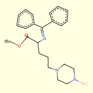 BN1CCN(CCCC(N=C(c2ccccc2)c2ccccc2)C(=O)OC(C)(C)C)CC1